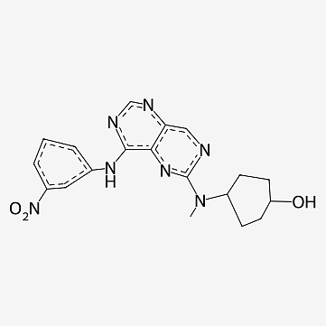 CN(c1ncc2ncnc(Nc3cccc([N+](=O)[O-])c3)c2n1)C1CCC(O)CC1